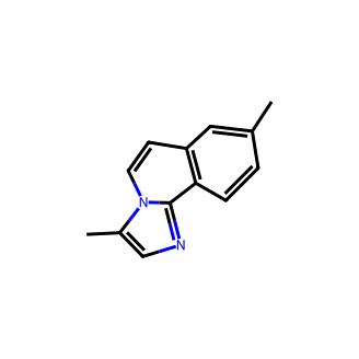 Cc1ccc2c(ccn3c(C)cnc23)c1